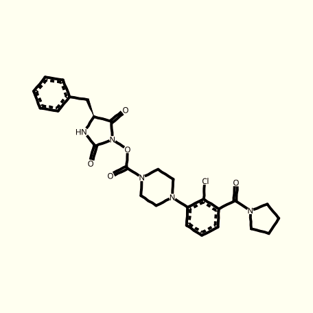 O=C(ON1C(=O)N[C@@H](Cc2ccccc2)C1=O)N1CCN(c2cccc(C(=O)N3CCCC3)c2Cl)CC1